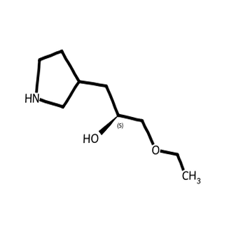 CCOC[C@@H](O)CC1CCNC1